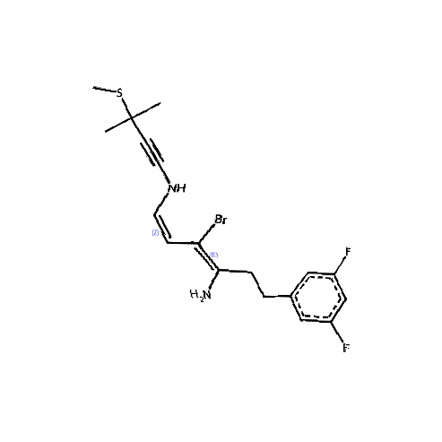 CSC(C)(C)C#CN/C=C\C(Br)=C(/N)CCc1cc(F)cc(F)c1